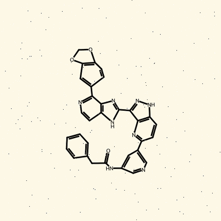 O=C(Cc1ccccc1)Nc1cncc(-c2ccc3[nH]nc(-c4nc5c(-c6ccc7c(c6)OCO7)nccc5[nH]4)c3n2)c1